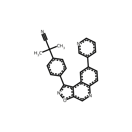 CC(C)(C#N)c1ccc(-c2noc3cnc4ccc(-c5cccnc5)cc4c23)cc1